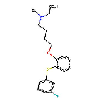 CCN(CCCCOc1ccccc1Sc1cccc(F)c1)CC(=O)O